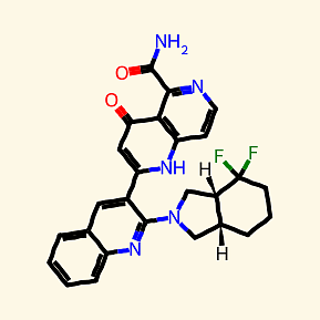 NC(=O)c1nccc2[nH]c(-c3cc4ccccc4nc3N3C[C@H]4CCCC(F)(F)[C@H]4C3)cc(=O)c12